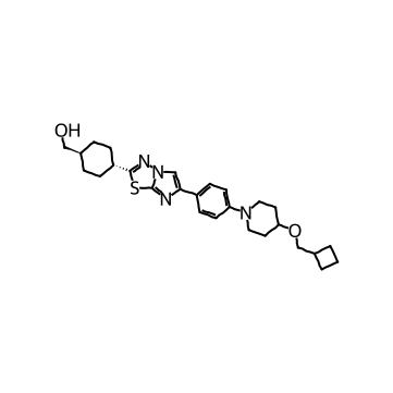 OC[C@H]1CC[C@H](c2nn3cc(-c4ccc(N5CCC(OCC6CCC6)CC5)cc4)nc3s2)CC1